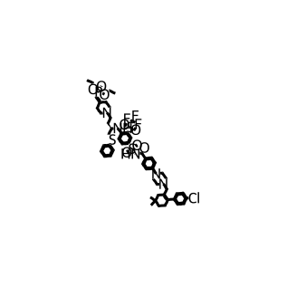 CCOP(=O)(C=C1CCN(CC[C@H](CSc2ccccc2)Nc2ccc(S(=O)(=O)NC(=O)c3ccc(N4CCN(CC5=C(c6ccc(Cl)cc6)CCC(C)(C)C5)CC4)cc3)cc2S(=O)(=O)C(F)(F)F)CC1)OCC